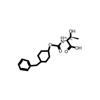 C[C@H](O)[C@@H](NC(=O)OC1CCC(Cc2ccccc2)CC1)C(=O)O